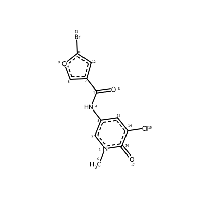 Cn1cc(NC(=O)c2coc(Br)c2)cc(Cl)c1=O